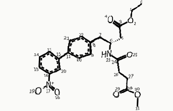 CCOC(=O)C[C@@H](Cc1ccc(-c2cccc([N+](=O)[O-])c2)cc1)NC(=O)CCC(=O)OC